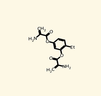 C=C(N)C(=O)Oc1ccc(CC)c(OC(=O)C(=C)N)c1